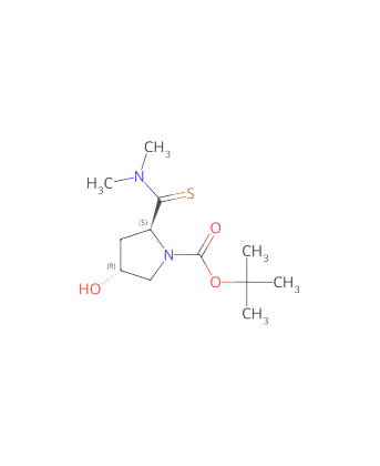 CN(C)C(=S)[C@@H]1C[C@@H](O)CN1C(=O)OC(C)(C)C